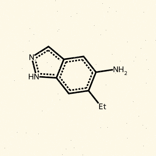 CCc1cc2[nH]ncc2cc1N